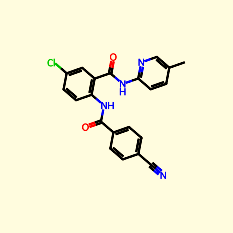 Cc1ccc(NC(=O)c2cc(Cl)ccc2NC(=O)c2ccc(C#N)cc2)nc1